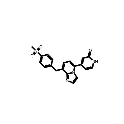 CS(=O)(=O)c1ccc(Cc2ccc(-c3cc[nH]c(=O)c3)n3ccnc23)cc1